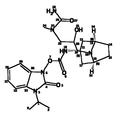 CC(C)n1c(=O)n(OC(=O)N[C@@H]2C[C@H]3CC[C@@H](C2)N3CC(O)CN(C)C(N)=O)c2ccccc21